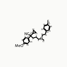 COc1ccc(C(C#N)(CCCN(C)CCc2ccc(F)cc2)C2CC2)cc1